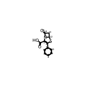 O=C(O)C1=C(c2ccccc2)SC2CC(=O)N12